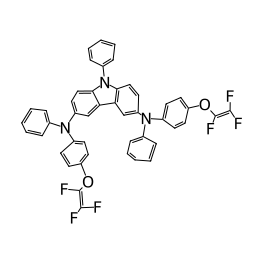 FC(F)=C(F)Oc1ccc(N(c2ccccc2)c2ccc3c(c2)c2cc(N(c4ccccc4)c4ccc(OC(F)=C(F)F)cc4)ccc2n3-c2ccccc2)cc1